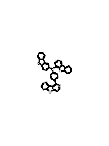 c1ccc2c(c1)oc1ccc(N(c3ccc(-c4nccc5oc6ccccc6c45)cc3)c3cccc4c3oc3ccccc34)cc12